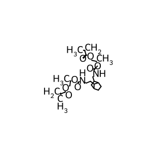 C=C(C)C(=O)OCC(C)OC(=O)NCCC1C2CCC1C(CNC(=O)OC(C)COC(=O)C(=C)C)C2